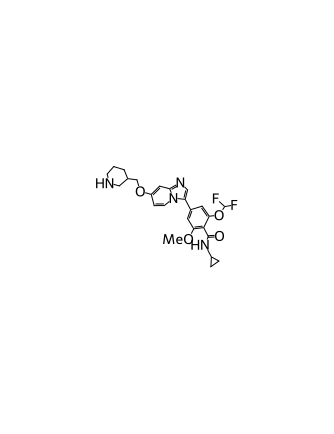 COc1cc(-c2cnc3cc(OCC4CCCNC4)ccn23)cc(OC(F)F)c1C(=O)NC1CC1